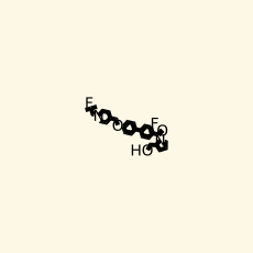 CC(C)(F)CN1CCC(COc2ccc(-c3ccc(C(=O)N4CCCC4CO)c(F)c3)cc2)CC1